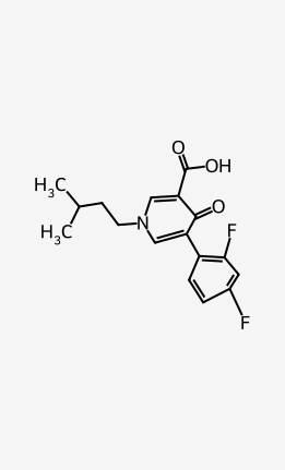 CC(C)CCn1cc(C(=O)O)c(=O)c(-c2ccc(F)cc2F)c1